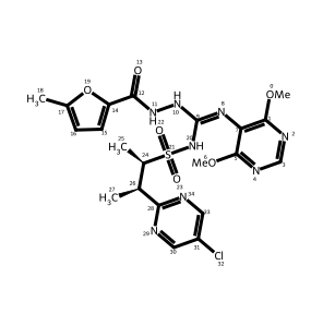 COc1ncnc(OC)c1/N=C(/NNC(=O)c1ccc(C)o1)NS(=O)(=O)[C@H](C)[C@H](C)c1ncc(Cl)cn1